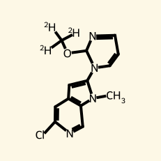 [2H]C([2H])([2H])OC1N=CC=CN1c1cc2cc(Cl)ncc2n1C